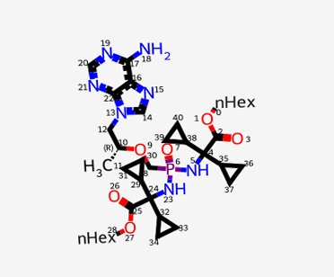 CCCCCCOC(=O)C(NP(=O)(CO[C@H](C)Cn1cnc2c(N)ncnc21)NC(C(=O)OCCCCCC)(C1CC1)C1CC1)(C1CC1)C1CC1